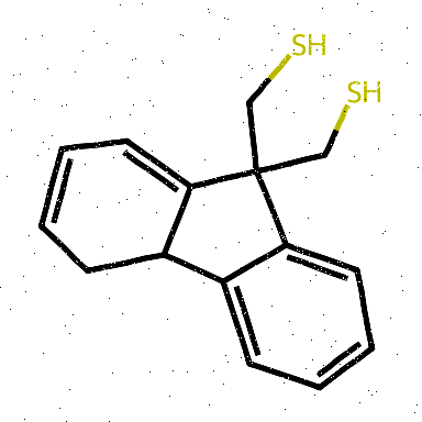 SCC1(CS)C2=CC=CCC2c2ccccc21